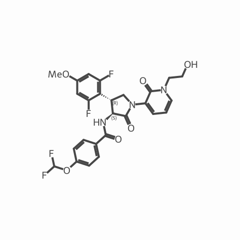 COc1cc(F)c([C@@H]2CN(c3cccn(CCO)c3=O)C(=O)[C@H]2NC(=O)c2ccc(OC(F)F)cc2)c(F)c1